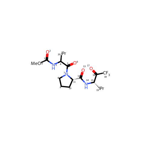 COC(=O)NC(C(=O)N1CCC[C@H]1C(=O)N[C@H](C(=O)C(F)(F)F)C(C)C)C(C)C